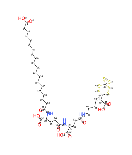 O=C(O)CCCCCCCCCCCCCCCCCCC(=O)N[C@@H](CCC(=O)N[C@@H](CCC(=O)NCCCC[C@@H](C(=O)O)C1SSC2(SS1)SS2)C(=O)O)C(=O)O